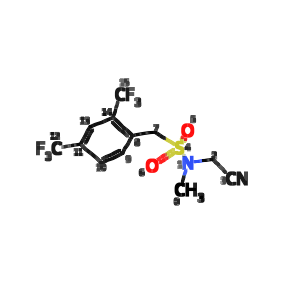 CN(CC#N)S(=O)(=O)Cc1ccc(C(F)(F)F)cc1C(F)(F)F